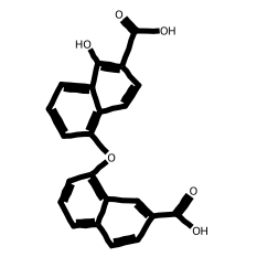 O=C(O)c1ccc2cccc(Oc3cccc4c(O)c(C(=O)O)ccc34)c2c1